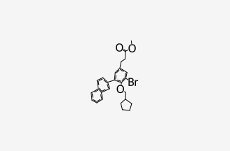 COC(=O)CCc1cc(Br)c(OCC2CCCC2)c(-c2ccc3ccccc3c2)c1